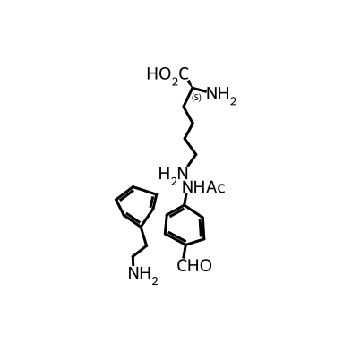 CC(=O)Nc1ccc(C=O)cc1.NCCCC[C@H](N)C(=O)O.NCCc1ccccc1